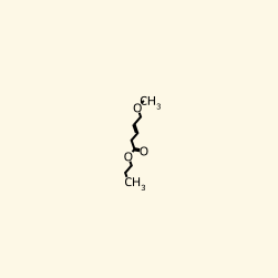 CCCOC(=O)CC=CCOC